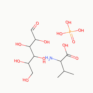 CC(C)C(N)C(=O)O.O=CC(O)C(O)C(O)C(O)CO.O=P(O)(O)O